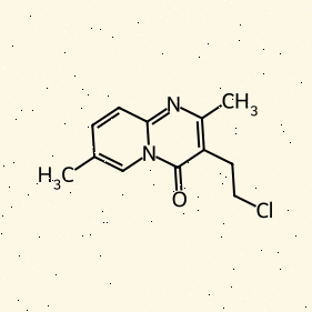 Cc1ccc2nc(C)c(CCCl)c(=O)n2c1